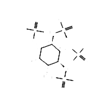 O[C@@H]1[C@H](O)[C@H](OP(O)(O)=S)[C@@H](OP(O)(O)=S)[C@H](OP(O)(O)=S)[C@H]1OP(O)(O)=S